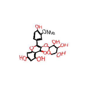 COc1cc(-c2oc3cc(O)cc(O)c3c(=O)c2O[C@@H]2OC[C@@H](O)C(O)[C@H]2O)ccc1O